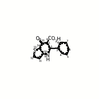 O=C(O)c1c(-c2ccccc2)[nH]c2ccsc2c1=O